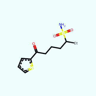 CCC(CCCC(=O)c1cccs1)S(N)(=O)=O